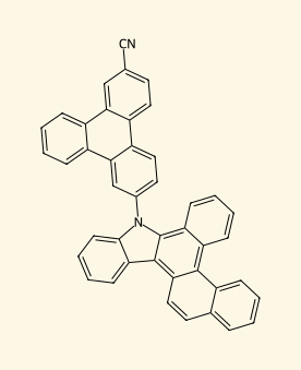 N#Cc1ccc2c3ccc(-n4c5ccccc5c5c6ccc7ccccc7c6c6ccccc6c54)cc3c3ccccc3c2c1